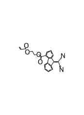 C=CC(=O)OCCOC(=O)c1cccc2c1-c1ccccc1C2=C(C#N)C#N